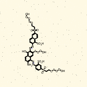 Nc1ccc2c(O)c(/N=N/c3ccc4cc(S(=O)(=O)CCOSOOO)ccc4c3S(=O)(=O)O)c(SOOO)cc2c1/N=N/c1ccc(S(=O)(=O)CCOSOOO)cc1S(=O)(=O)O